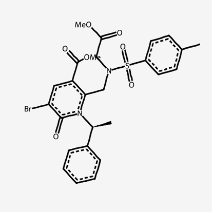 COC(=O)CN(Cc1c(C(=O)OC)cc(Br)c(=O)n1[C@@H](C)c1ccccc1)S(=O)(=O)c1ccc(C)cc1